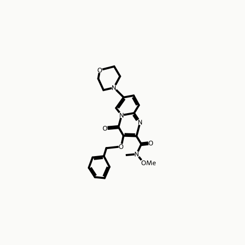 CON(C)C(=O)c1nc2ccc(N3CCOCC3)cn2c(=O)c1OCc1ccccc1